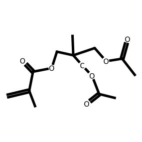 C=C(C)C(=O)OCC(C)(COC(C)=O)COC(C)=O